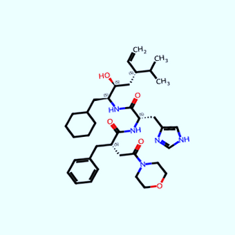 C=C[C@@H](C[C@H](O)[C@H](CC1CCCCC1)NC(=O)[C@H](Cc1c[nH]cn1)NC(=O)[C@H](CC(=O)N1CCOCC1)Cc1ccccc1)C(C)C